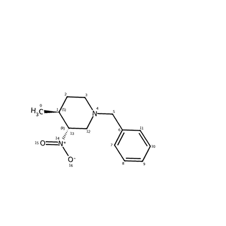 C[C@H]1CCN(Cc2ccccc2)C[C@@H]1[N+](=O)[O-]